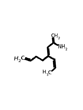 C=CCCC(/C=C\C)=C/C(=C)N